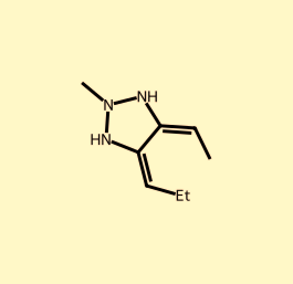 C/C=C1/NN(C)N/C1=C/CC